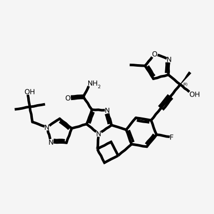 Cc1cc([C@](C)(O)C#Cc2cc3c(cc2F)C2CC(C2)n2c-3nc(C(N)=O)c2-c2cnn(CC(C)(C)O)c2)no1